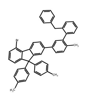 Cc1ccc(C2(c3ccc(C)cc3)c3cc(-c4ccc(C)c(-c5ccccc5Cc5ccccc5)c4)ccc3-c3c(Br)cccc32)cc1